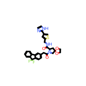 O=C(NCc1cc(-c2ncc[nH]2)cs1)C1CC2(CN1C(=O)Cc1ccc3c(c1)-c1ccccc1C3(F)F)OCCO2